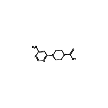 Nc1cc(N2CCN(C(=O)O)CC2)ncn1